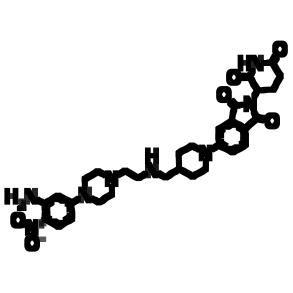 Nc1cc(N2CCN(CCNCC3CCN(c4ccc5c(c4)C(=O)N(C4CCC(=O)NC4=O)C5=O)CC3)CC2)ccc1[N+](=O)[O-]